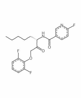 CCCCC[C@H](NC(=O)c1ccc(F)nc1)C(=O)COc1c(F)cccc1F